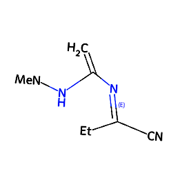 C=C(/N=C(/C#N)CC)NNC